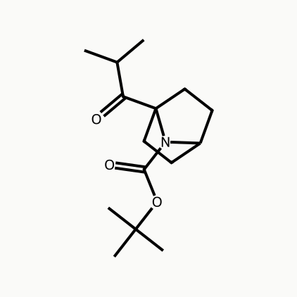 CC(C)C(=O)C12CCC(CC1)N2C(=O)OC(C)(C)C